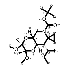 CCC(F)[C@@H]1[C@H]2O[C@](C)(OC)[C@@](C)(OC)O[C@@H]2CN(C(=O)OC(C)(C)C)C12CC2